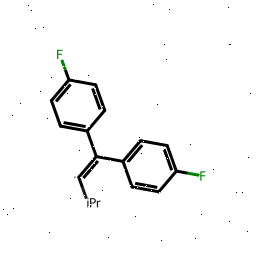 CC(C)[C]=C(c1ccc(F)cc1)c1ccc(F)cc1